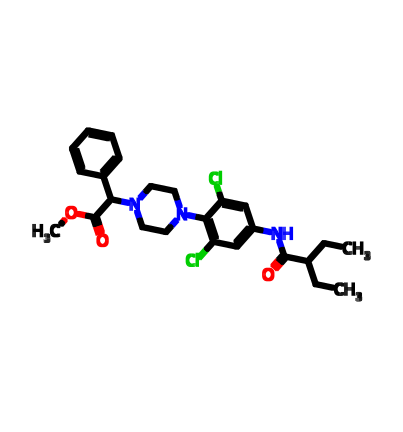 CCC(CC)C(=O)Nc1cc(Cl)c(N2CCN(C(C(=O)OC)c3ccccc3)CC2)c(Cl)c1